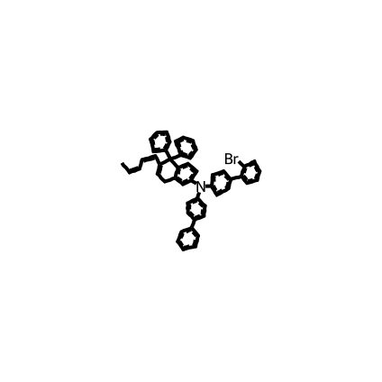 C/C=C\C=C/C1=CCc2cc(N(c3ccc(-c4ccccc4)cc3)c3ccc(-c4ccccc4Br)cc3)ccc2C1(c1ccccc1)c1ccccc1